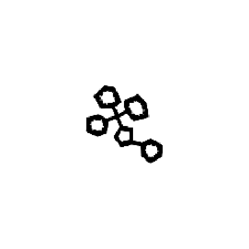 C1=C(c2ccccc2)C=C(C(c2ccccc2)(c2ccccc2)c2ccccc2)C1